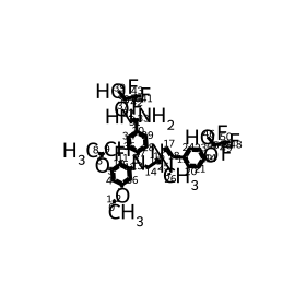 CCOc1cc(OC(C)C)c(F)c(N(Cc2ncc(-c3ccccc3)n2C)c2ccc(C(=N)N)cc2)c1.O=C(O)C(F)(F)F.O=C(O)C(F)(F)F